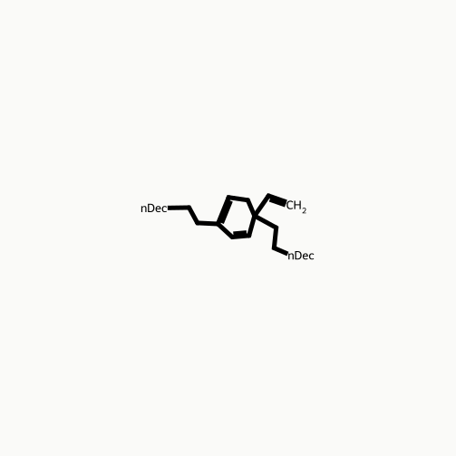 C=CC1(CCCCCCCCCCCC)C=CC(CCCCCCCCCCCC)=CC1